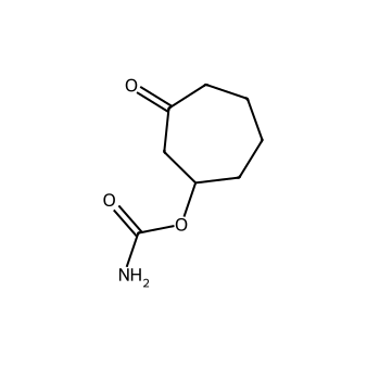 NC(=O)OC1CCCCC(=O)C1